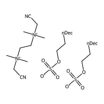 CCCCCCCCCCCCOS(=O)(=O)[O-].CCCCCCCCCCCCOS(=O)(=O)[O-].C[N+](C)(CC#N)CC[N+](C)(C)CC#N